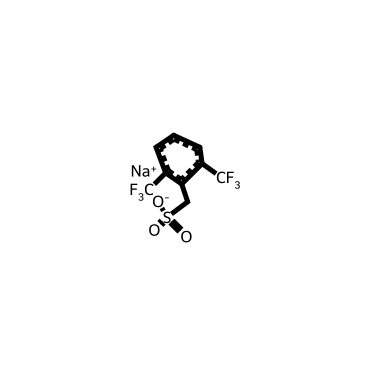 O=S(=O)([O-])Cc1c(C(F)(F)F)cccc1C(F)(F)F.[Na+]